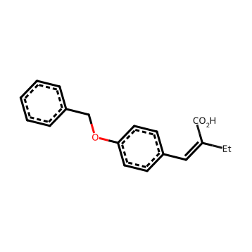 CC/C(=C/c1ccc(OCc2ccccc2)cc1)C(=O)O